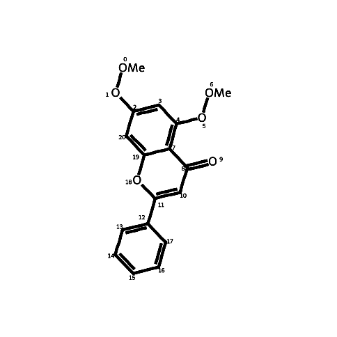 COOc1cc(OOC)c2c(=O)cc(-c3ccccc3)oc2c1